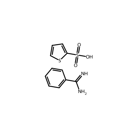 N=C(N)c1ccccc1.O=S(=O)(O)c1cccs1